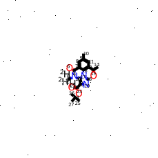 [2H]C([2H])([2H])n1c(=O)c2cc(C)cc(C(C)=O)c2n2cnc(C(=O)OC(C)(C)C)c12